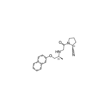 C[C@@H](COc1ccc2ccccc2c1)NCC(=O)N1CCC[C@H]1C#N